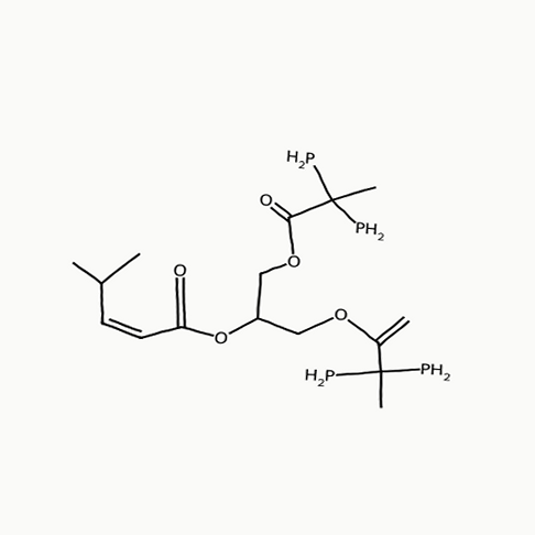 C=C(OCC(COC(=O)C(C)(P)P)OC(=O)/C=C\C(C)C)C(C)(P)P